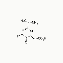 C[C@H](N)C(=O)N[C@@H](CC(=O)O)C(=O)[CH]F